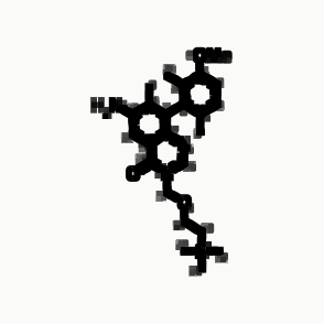 COc1ccc(C)c(-c2c(C)c(N)cc3c(=O)n(COCC[Si](C)(C)C)cnc23)c1C